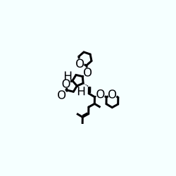 CC(C)=CCC(C)[C@H](C=C[C@@H]1[C@H]2CC(=O)O[C@H]2C[C@H]1OC1CCCCO1)OC1CCCCO1